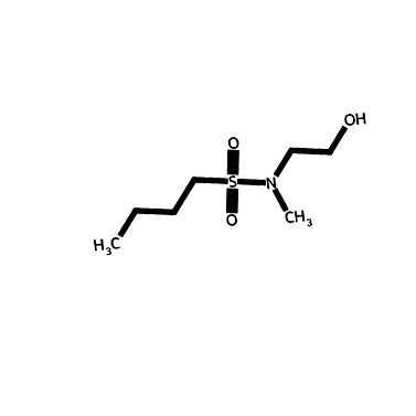 CCCCS(=O)(=O)N(C)CCO